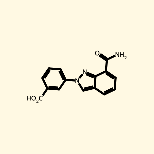 NC(=O)c1cccc2cn(-c3cccc(C(=O)O)c3)nc12